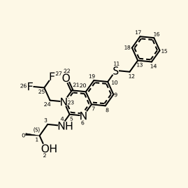 C[C@H](O)CNc1nc2ccc(SCc3ccccc3)cc2c(=O)n1CC(F)F